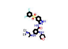 CCN(CC)CC(C)Nc1ccc(C(=O)Nc2n[nH]c3ccc(S(=O)(=O)c4cc(F)cc(F)c4)cc23)c(NC2CCOCC2)c1